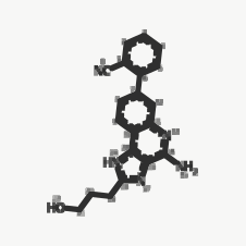 N#Cc1ccccc1-c1ccc2c(c1)nc(N)c1nc(CCCO)[nH]c12